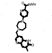 CNC(=O)c1ccc(N2CCCN(Cc3cnc4cc(C)c(=O)[nH]c4c3)CC2)cn1